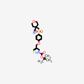 CC(C)(C)OC(=O)NC/C(=C\F)COc1ccc(S(=O)(=O)CC2(C#N)CCOCC2)cc1